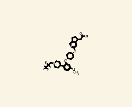 COc1ccc(C2CCN(CC(F)(F)C(F)(F)F)CC2)c(O[C@H]2CC[C@H](Oc3cc4c(cn3)CCC4CC(=O)O)CC2)c1